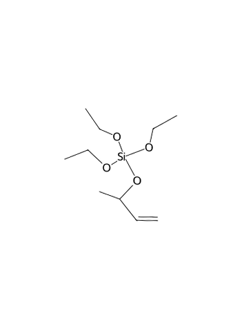 C=CC(C)O[Si](OCC)(OCC)OCC